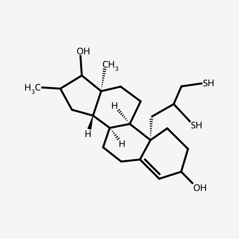 CC1C[C@H]2[C@@H]3CCC4=CC(O)CC[C@]4(CC(S)CS)[C@@H]3CC[C@]2(C)C1O